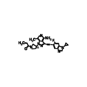 C=CC(=O)N1CC[C@H](n2nc(C#Cc3cc4ncn(C5CC5)c4cc3F)c3c(N)ncc(C)c32)C1